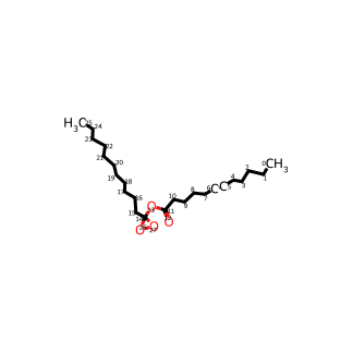 CCCCCCCCCCCC(=O)OC1(CCCCCCCCCCC)OO1